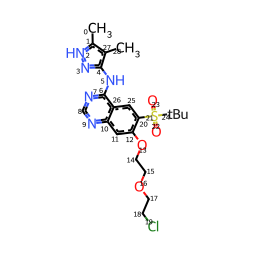 Cc1[nH]nc(Nc2ncnc3cc(OCCOCCCl)c(S(=O)(=O)C(C)(C)C)cc23)c1C